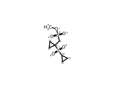 COS(=O)(=O)CC1(S(=O)(=O)C2CC2)CC1